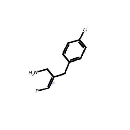 NC/C(=C\F)Cc1ccc(Cl)cc1